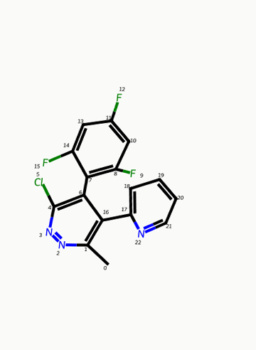 Cc1nnc(Cl)c(-c2c(F)cc(F)cc2F)c1-c1ccccn1